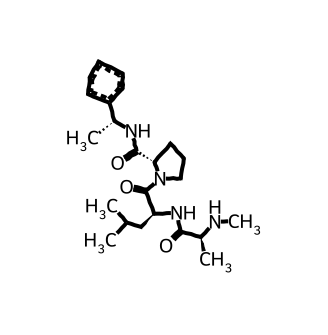 CN[C@@H](C)C(=O)N[C@@H](CC(C)C)C(=O)N1CCC[C@H]1C(=O)N[C@H](C)c1ccccc1